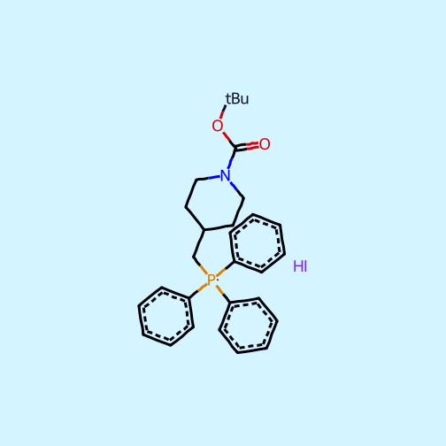 CC(C)(C)OC(=O)N1CCC(C[P](c2ccccc2)(c2ccccc2)c2ccccc2)CC1.I